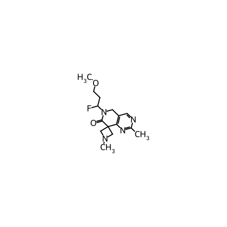 COCCC(F)N1Cc2cnc(C)nc2C2(CN(C)C2)C1=O